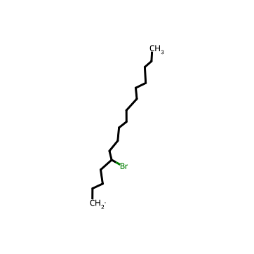 [CH2]CCCC(Br)CCCCCCCCCCC